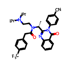 CC(C)N(CCN(C(=O)Cc1ccc(C(F)(F)F)cc1)[C@H](C)c1nc2ccccc2c(=O)n1-c1ccc(C#N)cc1)C(C)C